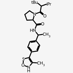 CC1=C(c2ccc(C(C)NC(=O)C3CCCN3C(=O)C(C(C)C)C(C)(C)C)cc2)SON1